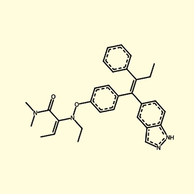 CC=C(C(=O)N(C)C)N(CC)Oc1ccc(/C(=C(/CC)c2ccccc2)c2ccc3[nH]ncc3c2)cc1